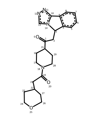 O=C(CC1c2ccccc2-c2nncn21)C1CCN(C(=O)CC2CCOCC2)CC1